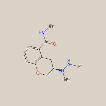 CCCN(NC(C)C)[C@H]1COc2cccc(C(=O)NC(C)C)c2C1